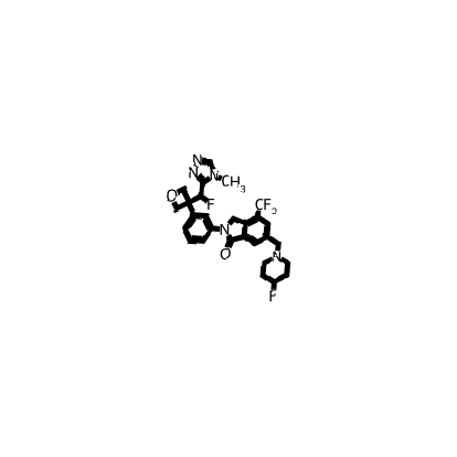 Cn1cnnc1C(F)C1(c2cccc(N3Cc4c(cc(CN5CCC(F)CC5)cc4C(F)(F)F)C3=O)c2)COC1